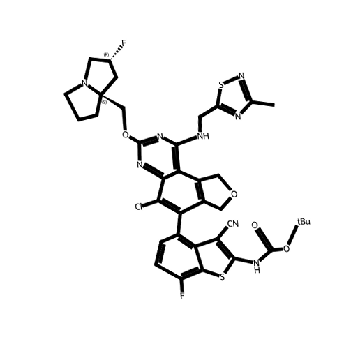 Cc1nsc(CNc2nc(OC[C@@]34CCCN3C[C@H](F)C4)nc3c(Cl)c(-c4ccc(F)c5sc(NC(=O)OC(C)(C)C)c(C#N)c45)c4c(c23)COC4)n1